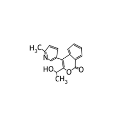 Cc1ccc(-c2c(C(C)O)oc(=O)c3ccccc23)cn1